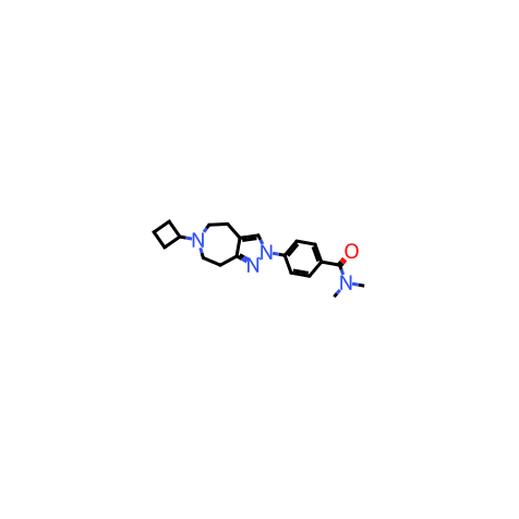 CN(C)C(=O)c1ccc(-n2cc3c(n2)CCN(C2CCC2)CC3)cc1